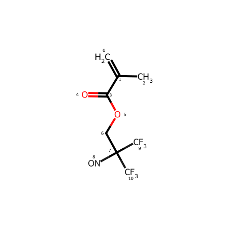 C=C(C)C(=O)OCC(N=O)(C(F)(F)F)C(F)(F)F